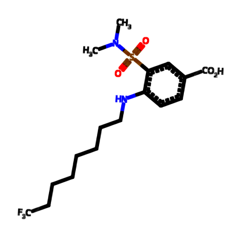 CN(C)S(=O)(=O)c1cc(C(=O)O)ccc1NCCCCCCCC(F)(F)F